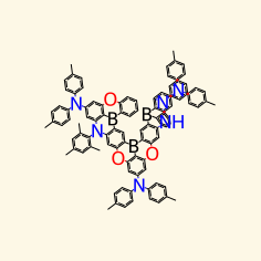 Cc1ccc(N(c2ccc(C)cc2)c2cc3c4c(c2)Oc2cc5c(cc2B4c2cc4c(cc2O3)Nc2cc(N(c3ccc(C)cc3)c3ccc(C)cc3)cc3c2B4c2ccccc2N3c2ccccc2)B2c3ccccc3Oc3cc(N(c4ccc(C)cc4)c4ccc(C)cc4)cc(c32)N5c2c(C)cc(C)cc2C)cc1